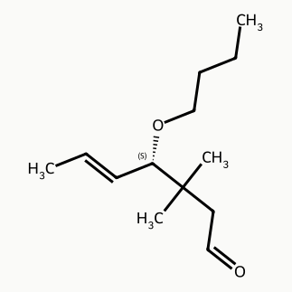 CC=C[C@H](OCCCC)C(C)(C)CC=O